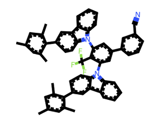 Cc1cc(C)c(-c2ccc3c(c2)c2ccccc2n3-c2cc(-c3cccc(C#N)c3)cc(-n3c4ccccc4c4cc(-c5c(C)cc(C)cc5C)ccc43)c2C(F)(F)F)c(C)c1